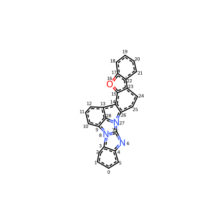 c1ccc2c(c1)nc1n2c2cccc3c4c5oc6ccccc6c5ccc4n1c32